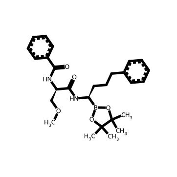 COC[C@@H](NC(=O)c1ccccc1)C(=O)N[C@@H](CCCc1ccccc1)B1OC(C)(C)C(C)(C)O1